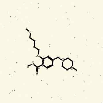 COCCCCOc1cc(CN2CCN(C)CC2)ccc1C(=O)OC